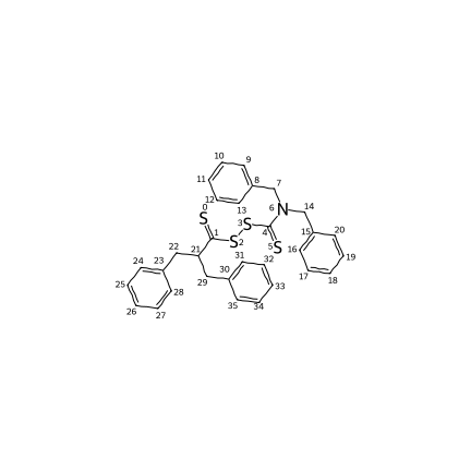 S=C(SSC(=S)N(Cc1ccccc1)Cc1ccccc1)C(Cc1ccccc1)Cc1ccccc1